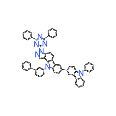 c1ccc(-c2cccc(-n3c4ccc(-c5ccc6c(c5)c5ccccc5n6-c5ccccc5)cc4c4ccc5c(cnn5-c5nc(-c6ccccc6)nc(-c6ccccc6)n5)c43)c2)cc1